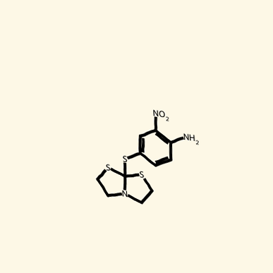 Nc1ccc(SC23SCCN2CCS3)cc1[N+](=O)[O-]